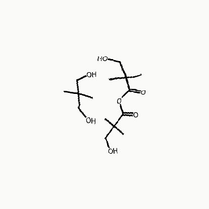 CC(C)(CO)C(=O)OC(=O)C(C)(C)CO.CC(C)(CO)CO